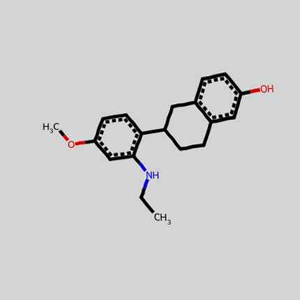 CCNc1cc(OC)ccc1C1CCc2cc(O)ccc2C1